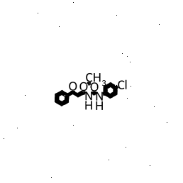 CCOC(=CC(=O)c1ccccc1)NC(=O)Nc1ccc(Cl)cc1